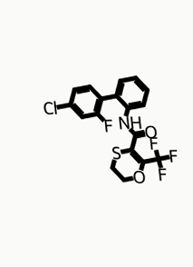 O=C(Nc1ccccc1-c1ccc(Cl)cc1F)C1=C(C(F)(F)F)OCCS1